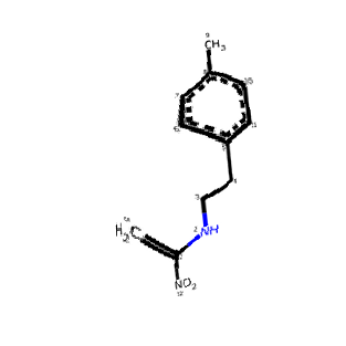 C=C(NCCc1ccc(C)cc1)[N+](=O)[O-]